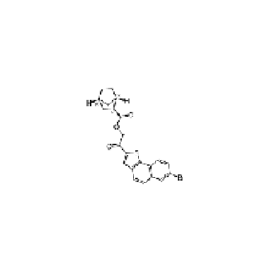 O=C(COC(=O)[C@H]1C[C@@H]2CC[C@H]1C2)c1cc2ccc3cc(Br)ccc3c2s1